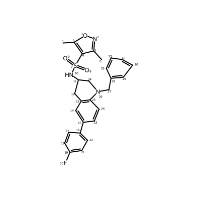 Cc1noc(C)c1S(=O)(=O)NC1Cc2cc(-c3ccc(F)cc3)ccc2N(Cc2ccccc2)C1